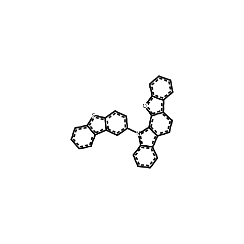 c1ccc2c(c1)oc1c2ccc2c3ccccc3n(-c3ccc4sc5ccccc5c4c3)c21